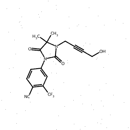 CC1(C)C(=O)N(c2ccc(C#N)c(C(F)(F)F)c2)C(=O)N1CC#CCO